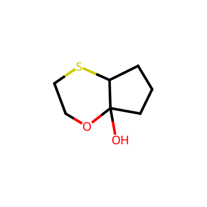 OC12CCCC1SCCO2